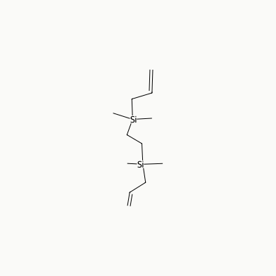 C=CC[Si](C)(C)CC[Si](C)(C)CC=C